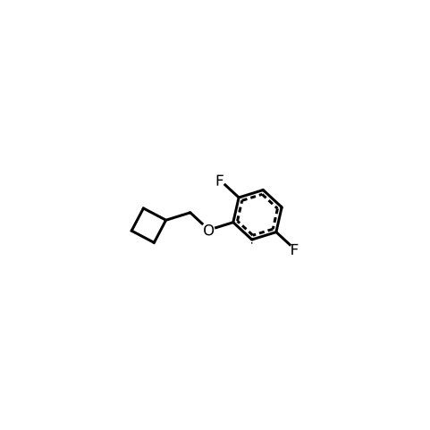 Fc1[c]c(OCC2CCC2)c(F)cc1